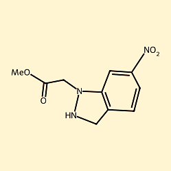 COC(=O)CN1NCc2ccc([N+](=O)[O-])cc21